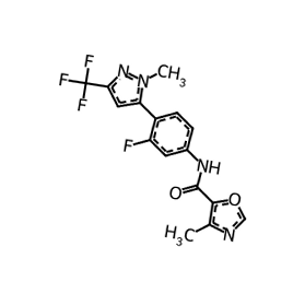 Cc1ncoc1C(=O)Nc1ccc(-c2cc(C(F)(F)F)nn2C)c(F)c1